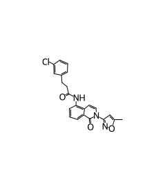 Cc1cc(-n2ccc3c(NC(=O)CCc4cccc(Cl)c4)cccc3c2=O)no1